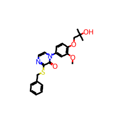 COc1cc(-n2ccnc(SCc3ccccc3)c2=O)ccc1OCC(C)(C)O